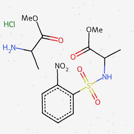 COC(=O)C(C)N.COC(=O)C(C)NS(=O)(=O)c1ccccc1[N+](=O)[O-].Cl